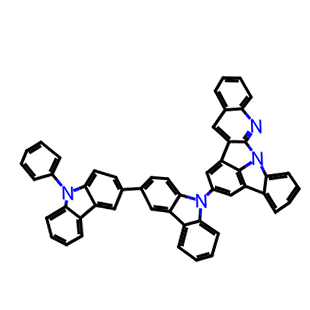 c1ccc(-n2c3ccccc3c3cc(-c4ccc5c(c4)c4ccccc4n5-c4cc5c6ccccc6n6c7nc8ccccc8cc7c(c4)c56)ccc32)cc1